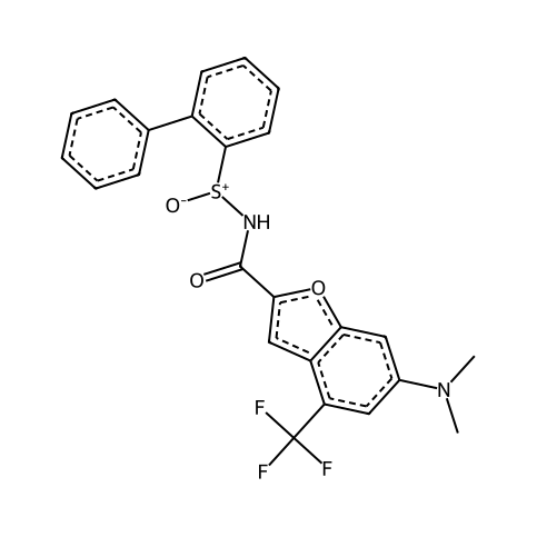 CN(C)c1cc(C(F)(F)F)c2cc(C(=O)N[S+]([O-])c3ccccc3-c3ccccc3)oc2c1